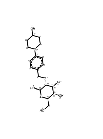 OC[C@H]1O[C@@H](O)[C@H](OCc2ccc(N3CCC(O)CC3)cc2)[C@@H](O)[C@@H]1O